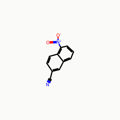 N#Cc1ccc2c([N+](=O)[O-])cccc2c1